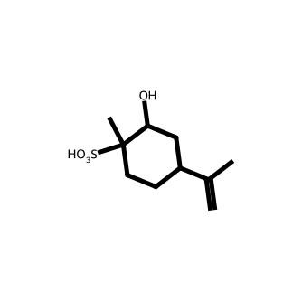 C=C(C)C1CCC(C)(S(=O)(=O)O)C(O)C1